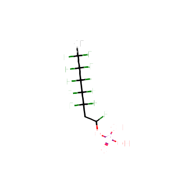 O=P(O)(O)OC(F)CC(F)(F)C(F)(F)C(F)(F)C(F)(F)C(F)(F)C(F)(F)F